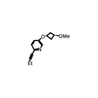 CCC#Cc1ccc(O[C@H]2C[C@H](OC)C2)cn1